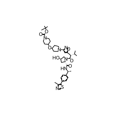 Cc1ncsc1-c1ccc([C@H](C)NC(=O)[C@@H]2C[C@@H](O)CN2C(=O)[C@H](c2cc(N3CCC(OC4CCN(C(=O)OC(C)(C)C)CC4)CC3)no2)C(C)C)cc1